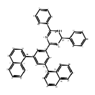 c1ccc(C2=NC(c3cc(-c4cccc5ccccc45)cc(-c4cccc5ccccc45)c3)=NC(c3ccccc3)N2)cc1